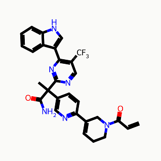 C=CC(=O)N1CCC=C(c2ccc(C(C)(C(N)=O)c3ncc(C(F)(F)F)c(-c4c[nH]c5ccccc45)n3)cn2)C1